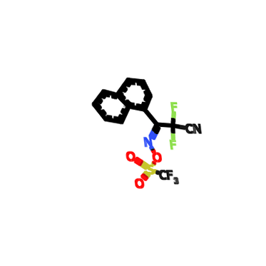 N#CC(F)(F)C(=NOS(=O)(=O)C(F)(F)F)c1cccc2ccccc12